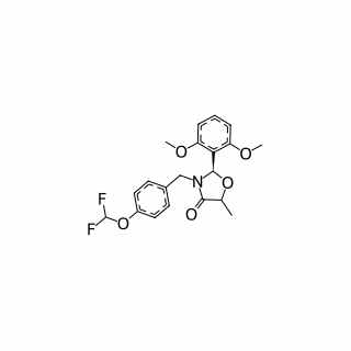 COc1cccc(OC)c1[C@H]1OC(C)C(=O)N1Cc1ccc(OC(F)F)cc1